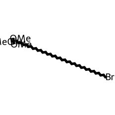 CO[Si](CCCCCCCCCCCCCCCCCCCCCCCCCCCCCCCCCCCCCCBr)(OC)OC